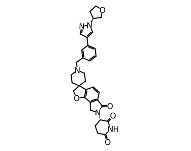 O=C1CC[C@H](N2Cc3c(ccc4c3OCC43CCN(Cc4cccc(-c5cnn([C@H]6CCOC6)c5)c4)CC3)C2=O)C(=O)N1